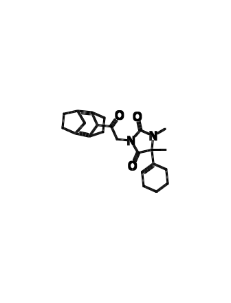 CN1C(=O)N(CC(=O)C2C3=C4CCC(=C2CC3)C4)C(=O)C1(C)C1=CCCCC1